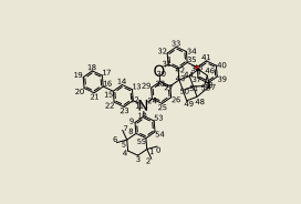 CC1(C)CCC(C)(C)c2cc(N(c3ccc(-c4ccccc4)cc3)c3ccc4c(c3)Oc3cccc(-c5ccccc5)c3C43C4CC5CC6CC3C64C5)ccc21